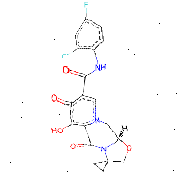 O=C(Nc1ccc(F)cc1F)c1cn2c(c(O)c1=O)C(=O)N1[C@H](C2)OCC12CC2